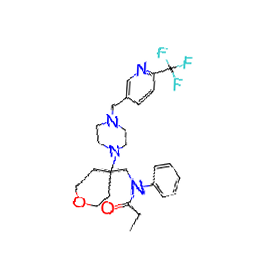 CCC(=O)N(CC1(N2CCN(Cc3ccc(C(F)(F)F)nc3)CC2)CCOCC1)c1ccccc1